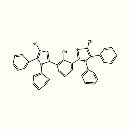 N#Cc1nc(-c2cccc(-c3nc(C#N)c(-c4ccccc4)n3-c3ccccc3)c2C#N)n(-c2ccccc2)c1-c1ccccc1